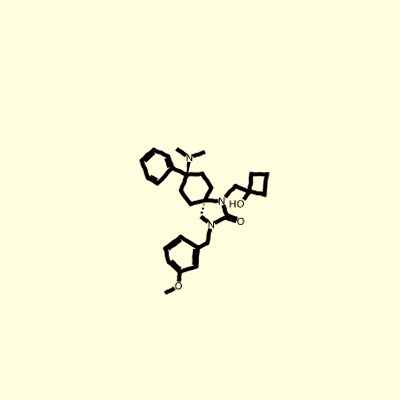 COc1cccc(CN2C[C@]3(CC[C@](c4ccccc4)(N(C)C)CC3)N(CC3(O)CCC3)C2=O)c1